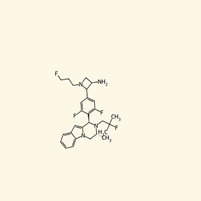 C[C@@H]1Cn2c(cc3ccccc32)[C@@H](c2c(F)cc(C3C(N)CN3CCCF)cc2F)N1CC(C)(C)F